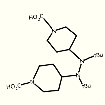 CC(C)(C)N(C1CCN(C(=O)O)CC1)N(C1CCN(C(=O)O)CC1)C(C)(C)C